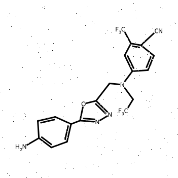 N#Cc1ccc(N(Cc2nnc(-c3ccc(N)cc3)o2)CC(F)(F)F)cc1C(F)(F)F